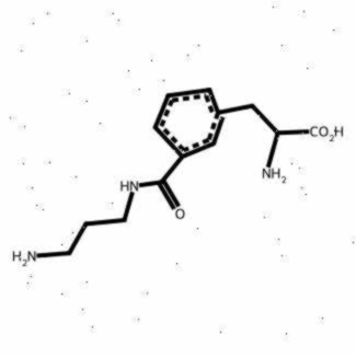 NCCCNC(=O)c1cccc(CC(N)C(=O)O)c1